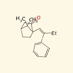 CCC(=CC12CCC(CC1=O)C2(C)C)c1ccccc1